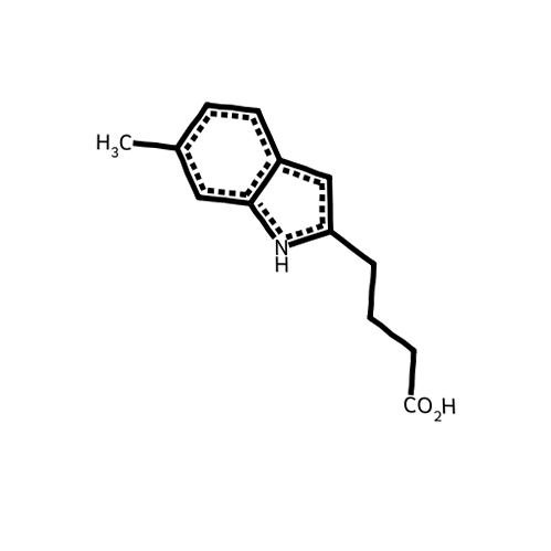 Cc1ccc2cc(CCCC(=O)O)[nH]c2c1